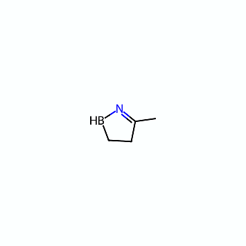 CC1=NBCC1